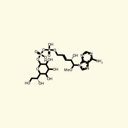 COC([C@@H](O)/C=C/COP(=O)(O)OP(=O)(O)OC1OC([C@H](O)CO)C(O)C(O)C1O)n1cnc2c(N)ncnc21